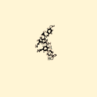 COc1ccc(CN(c2nc(Nc3cc(C#N)cc(N4CCN(C(=O)O)CC4)c3Cl)nn3c(C#N)cnc23)C2CC2)cc1